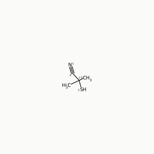 CC(C)(S)C#N